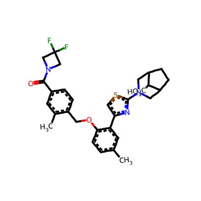 Cc1ccc(OCc2ccc(C(=O)N3CC(F)(F)C3)cc2C)c(-c2csc(N3CC4CCC(C3)C4C(=O)O)n2)c1